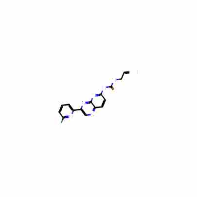 C=CCNC(=S)Nc1ccc2ncc(-c3cccc(Cl)n3)nc2n1